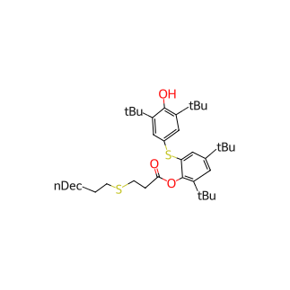 CCCCCCCCCCCCSCCC(=O)Oc1c(Sc2cc(C(C)(C)C)c(O)c(C(C)(C)C)c2)cc(C(C)(C)C)cc1C(C)(C)C